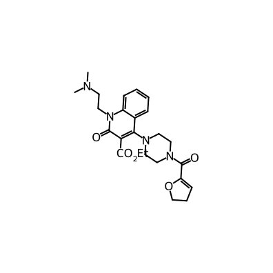 CCOC(=O)c1c(N2CCN(C(=O)C3=CCCO3)CC2)c2ccccc2n(CCN(C)C)c1=O